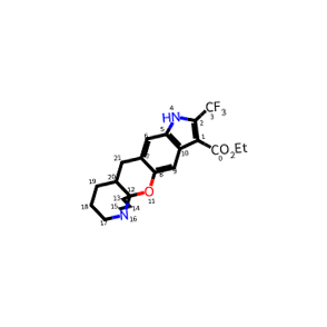 CCOC(=O)c1c(C(F)(F)F)[nH]c2cc3c(cc12)OC12CCCN1CCCC2C3